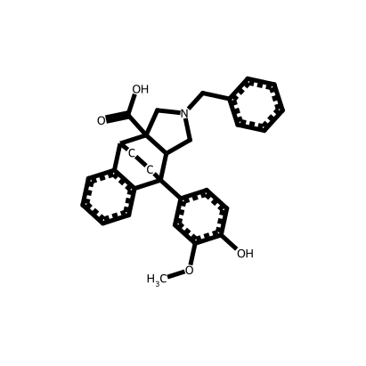 COc1cc(C23CCC(c4ccccc42)C2(C(=O)O)CN(Cc4ccccc4)CC32)ccc1O